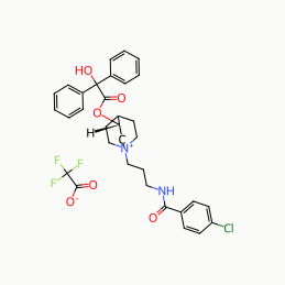 O=C(NCCC[N+]12CCC(CC1)[C@@H](OC(=O)C(O)(c1ccccc1)c1ccccc1)C2)c1ccc(Cl)cc1.O=C([O-])C(F)(F)F